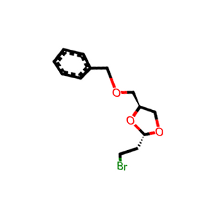 BrCC[C@H]1OC[C@H](COCc2ccccc2)O1